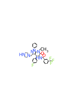 CCN1C(=O)[C@@H](NC(=O)c2cccc(C(F)(F)F)c2)[C@@H](c2ccc(F)cc2)c2c(CN3CCNCC3)nn(-c3ccccc3)c21